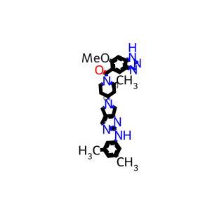 COc1cc2[nH]nnc2cc1C(=O)N1CC[C@H](N2Cc3cnc(Nc4cc(C)cc(C)c4)nc3C2)C[C@H]1C